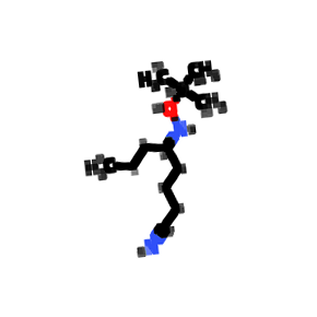 CCC/C(CCCC#N)=N\O[Si](C)(C)C